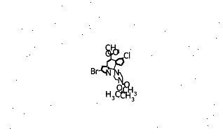 COC(=O)C1=Cc2cc(Br)cnc2C(N2CCN(C(=O)OC(C)(C)C)CC2)c2ccc(Cl)cc21